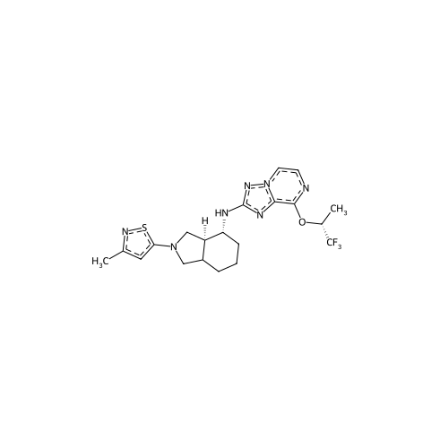 Cc1cc(N2CC3CCC[C@@H](Nc4nc5c(O[C@H](C)C(F)(F)F)nccn5n4)[C@@H]3C2)sn1